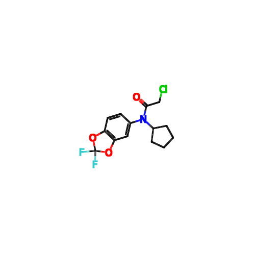 O=C(CCl)N(c1ccc2c(c1)OC(F)(F)O2)C1CCCC1